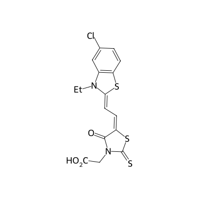 CCN1/C(=C/C=C2/SC(=S)N(CC(=O)O)C2=O)Sc2ccc(Cl)cc21